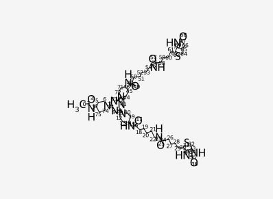 CC(=O)NC1CCN(c2nc(N3CCC(NC(=O)CCCCCNC(=O)CCCCC4SCC5NC(=O)NC54)CC3)nc(N3CCC(NC(=O)CCCCCNC(=O)CCCC[C@@H]4SCC5CC(=O)NC54)CC3)n2)CC1